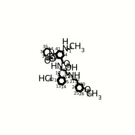 CCNc1cc(C(=O)N[C@@H](Cc2ccccc2)[C@H](O)CNCCc2cccc(OC)c2)cc(N2CCCCS2(=O)=O)c1.Cl